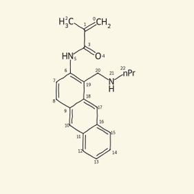 C=C(C)C(=O)Nc1ccc2cc3ccccc3cc2c1CNCCC